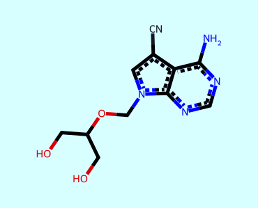 N#Cc1cn(COC(CO)CO)c2ncnc(N)c12